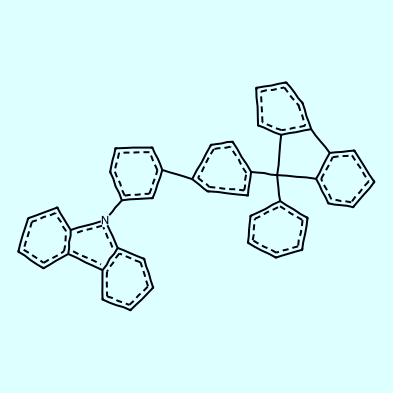 c1ccc(C2(c3ccc(-c4cccc(-n5c6ccccc6c6ccccc65)c4)cc3)c3ccccc3-c3ccccc32)cc1